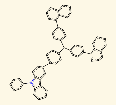 c1ccc(-n2c3ccccc3c3cc(-c4ccc(C(c5ccc(-c6cccc7ccccc67)cc5)c5ccc(-c6cccc7ccccc67)cc5)cc4)ccc32)cc1